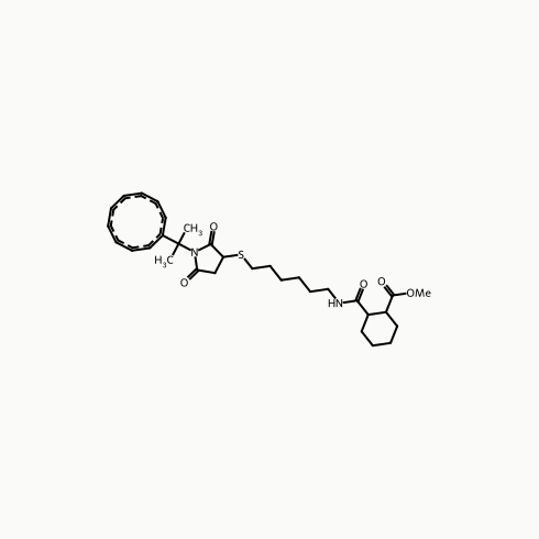 COC(=O)C1CCCCC1C(=O)NCCCCCCSC1CC(=O)N(C(C)(C)c2ccccccccc2)C1=O